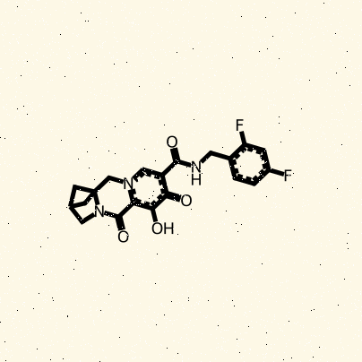 O=C(NCc1ccc(F)cc1F)c1cn2c(c(O)c1=O)C(=O)N1CC3CC1(C3)C2